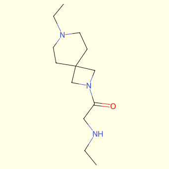 CCNCC(=O)N1CC2(CCN(CC)CC2)C1